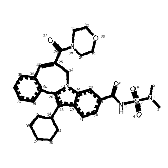 CN(C)S(=O)(=O)NC(=O)c1ccc2c(C3CCCCC3)c3n(c2c1)CC(C(=O)N1CCOCC1)=Cc1ccccc1-3